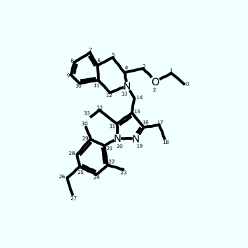 CCOCC1Cc2ccccc2CN1Cc1c(CC)nn(-c2c(C)cc(CC)cc2C)c1CC